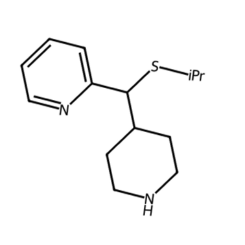 CC(C)SC(c1ccccn1)C1CCNCC1